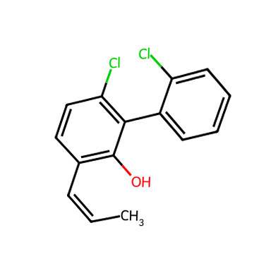 C/C=C\c1ccc(Cl)c(-c2ccccc2Cl)c1O